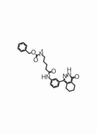 CN(CCCCC(=O)Nc1cccc(-c2n[nH]c(=O)c3c2CCCC3)c1)C(=O)OCc1ccccc1